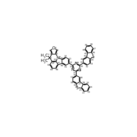 CC1(C)c2cocc2-n2c3ccc(-c4nc(-c5ccc6sc7ccccc7c6c5)nc(-c5ccc6sc7ccccc7c6c5)n4)cc3c3cccc1c32